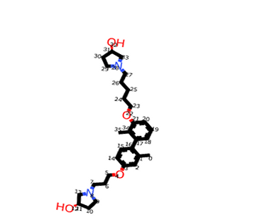 Cc1cc(OCCCN2CC[C@@H](O)C2)ccc1-c1cccc(OCCCCCN2CC[C@@H](O)C2)c1C